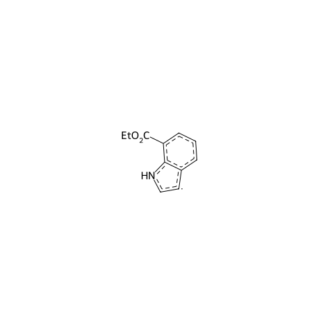 CCOC(=O)c1cccc2[c]c[nH]c12